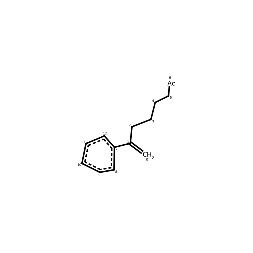 C=C(CCCCC(C)=O)c1ccccc1